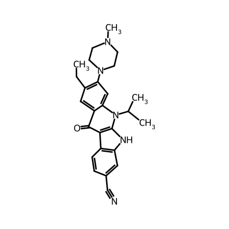 CCc1cc2c(=O)c3c4ccc(C#N)cc4[nH]c3n(C(C)C)c2cc1N1CCN(C)CC1